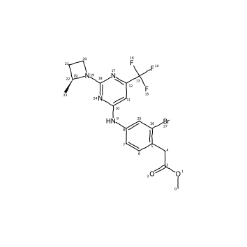 COC(=O)Cc1ccc(Nc2cc(C(F)(F)F)nc(N3CC[C@@H]3C)n2)cc1Br